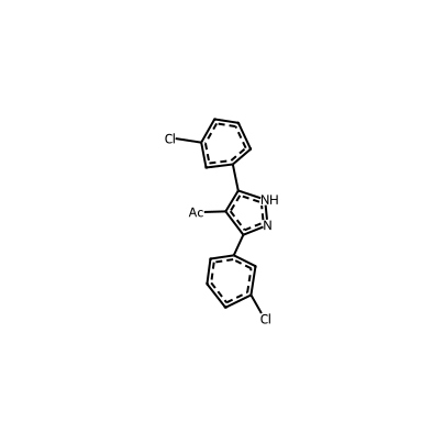 CC(=O)c1c(-c2cccc(Cl)c2)n[nH]c1-c1cccc(Cl)c1